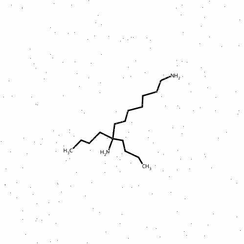 CCCCC(N)(CCCC)CCCCCCCN